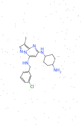 NC1CCC(Nc2cc(NCc3cccc(Cl)c3)n3ncc(I)c3n2)CC1